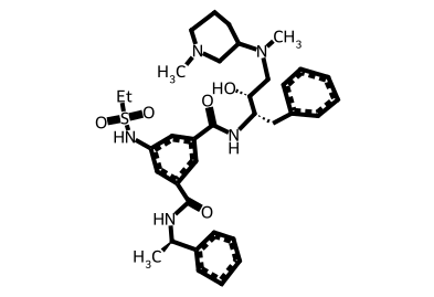 CCS(=O)(=O)Nc1cc(C(=O)N[C@@H](Cc2ccccc2)[C@H](O)CN(C)C2CCCN(C)C2)cc(C(=O)N[C@H](C)c2ccccc2)c1